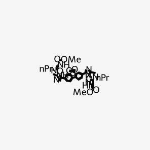 CCCN(Cc1ncc(-c2ccc3c(c2)S(=O)(=O)c2cc(-c4cnc(CN(CCC)C(=O)CNC(=O)OC)[nH]4)ccc2-3)[nH]1)C(=O)CNC(=O)OC